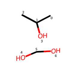 CC(C)O.OCO